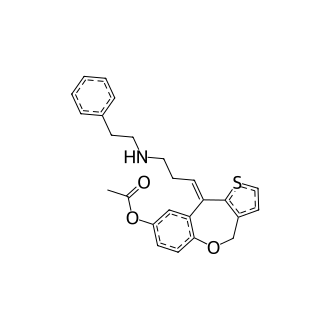 CC(=O)Oc1ccc2c(c1)/C(=C\CCNCCc1ccccc1)c1sccc1CO2